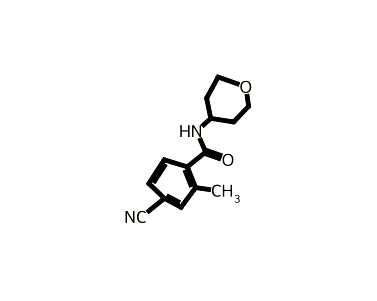 Cc1cc(C#N)ccc1C(=O)NC1CCOCC1